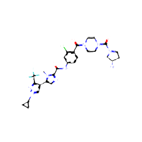 Cn1c(-c2cn(C3CC3)nc2C(F)(F)F)cnc1C(=O)Nc1ccc(C(=O)N2CCN(C(=O)N3CC[C@@H](N)C3)CC2)c(Cl)c1